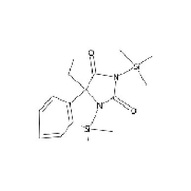 CCC1(c2ccccc2)C(=O)N([Si](C)(C)C)C(=O)N1[Si](C)(C)C